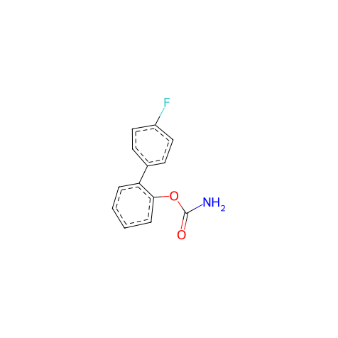 NC(=O)Oc1ccccc1-c1ccc(F)cc1